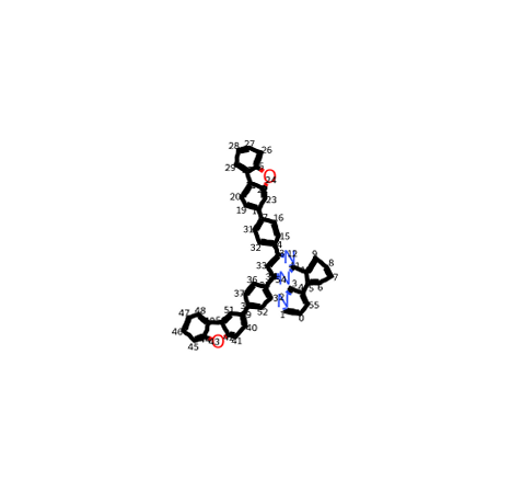 c1cncc(-c2ccccc2-c2nc(-c3ccc(-c4ccc5c(c4)oc4ccccc45)cc3)cc(-c3ccc(-c4ccc5oc6ccccc6c5c4)cc3)n2)c1